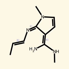 C/C=C/N=C1\C(=C(/N)NC)C=CN1C